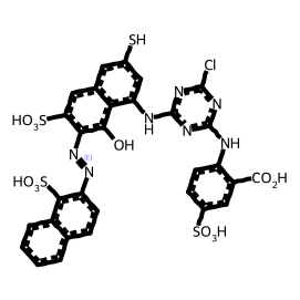 O=C(O)c1cc(S(=O)(=O)O)ccc1Nc1nc(Cl)nc(Nc2cc(S)cc3cc(S(=O)(=O)O)c(/N=N/c4ccc5ccccc5c4S(=O)(=O)O)c(O)c23)n1